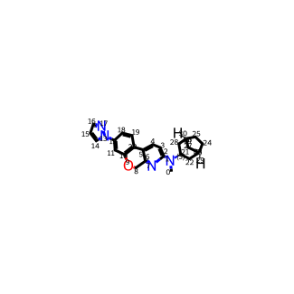 CN(c1ccc2c(n1)COc1cc(-n3cccn3)ccc1-2)[C@@H]1C[C@@H]2CC[C@@H](C2)C1